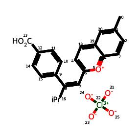 Cc1ccc2[o+]c(C=C(c3ccc(C(=O)O)cc3)C(C)C)ccc2c1.[O-][Cl+3]([O-])([O-])[O-]